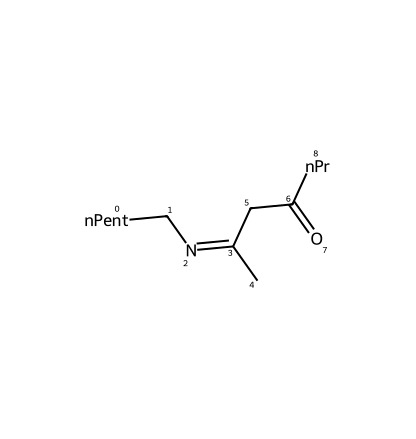 CCCCCCN=C(C)CC(=O)CCC